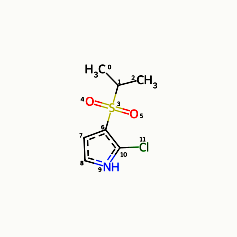 CC(C)S(=O)(=O)c1cc[nH]c1Cl